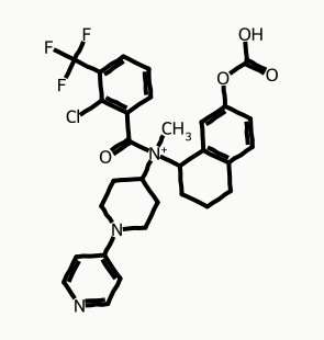 C[N+](C(=O)c1cccc(C(F)(F)F)c1Cl)(C1CCN(c2ccncc2)CC1)C1CCCc2ccc(OC(=O)O)cc21